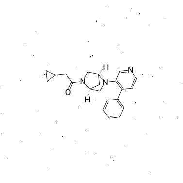 O=C(CC1CC1)N1C[C@@H]2C[C@H]1CN2c1cnccc1-c1ccccc1